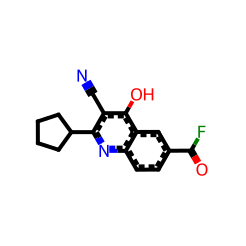 N#Cc1c(C2CCCC2)nc2ccc(C(=O)F)cc2c1O